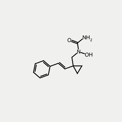 NC(=O)N(O)CC1(C=Cc2ccccc2)CC1